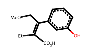 CCC(C(=O)O)=C(COC)c1cccc(O)c1